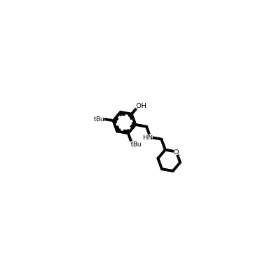 CC(C)(C)c1cc(O)c(CNCC2CCCCO2)c(C(C)(C)C)c1